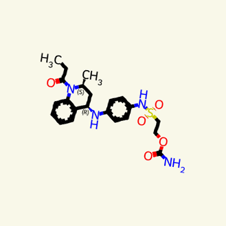 CCC(=O)N1c2ccccc2[C@H](Nc2ccc(NS(=O)(=O)CCOC(N)=O)cc2)C[C@@H]1C